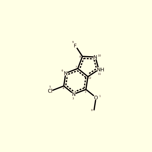 COc1nc(Cl)nc2c(F)n[nH]c12